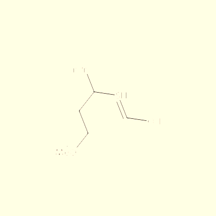 CCCC(CCOC)[SH]=CO